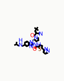 CC(C)CNCc1ccc2c(c1)nc(NC(=O)c1ccc(-c3cccnn3)s1)n2C[C@H]1CCCN1C(=O)C(C#N)=CC(C)(C)C